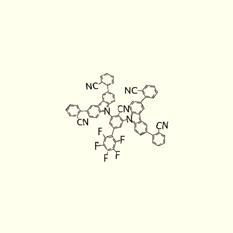 N#Cc1ccccc1-c1ccc2c(c1)c1cc(-c3ccccc3C#N)ccc1n2-c1cc(-c2c(F)c(F)c(F)c(F)c2F)cc(-n2c3ccc(-c4ccccc4C#N)cc3c3cc(-c4ccccc4C#N)ccc32)c1C#N